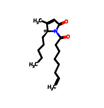 C=CCCCCCC(=O)N1C(=O)C=C(C)[C@@H]1CCCCC